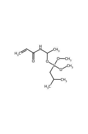 C=CC(=O)NC(C)O[Si](CC(C)C)(OC)OC